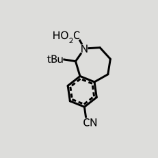 CC(C)(C)C1c2ccc(C#N)cc2CCCN1C(=O)O